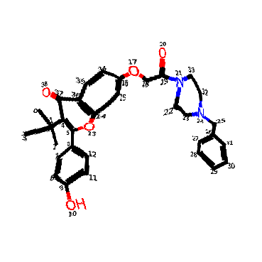 CC(C)(C)c1c(-c2ccc(O)cc2)oc2cc(OCC(=O)N3CCN(Cc4ccccc4)CC3)ccc2c1=O